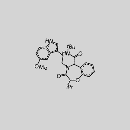 COc1ccc2[nH]cc(CCN3C(=O)C(C(C)C)Oc4ccccc4C3C(=O)NC(C)(C)C)c2c1